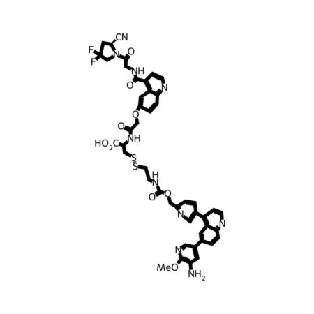 COc1ncc(-c2ccc3nccc(-c4ccc(COC(=O)NCCSSCC(NC(=O)COc5ccc6nccc(C(=O)NCC(=O)N7CC(F)(F)C[C@H]7C#N)c6c5)C(=O)O)nc4)c3c2)cc1N